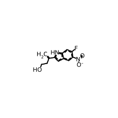 C=C(CCO)c1cc2cc([N+](=O)[O-])c(F)cc2[nH]1